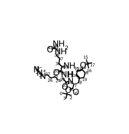 CC(C)(C)OC(=O)[C@H](CC1=CC=C(OC(C)(C)C)CC1)NC(=O)[C@H](CCCCN=[N+]=[N-])NC(=O)C(N)CCCNC(N)=O